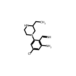 CCC1CN(c2cc(Cl)cc(N)c2C=N)CCN1